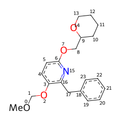 COCOc1ccc(OCC2CCCCO2)nc1Cc1ccccc1